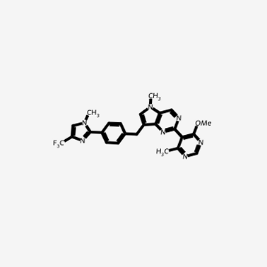 COc1ncnc(C)c1-c1ncc2c(n1)c(Cc1ccc(-c3nc(C(F)(F)F)cn3C)cc1)cn2C